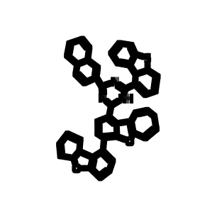 C1=CC2C=CC(C3=NC(c4ccc(-c5cccc6c5C5C=CC=CC5O6)c5oc6c(c45)C=CCC=C6)NC(C4=CC=CC5Sc6ccccc6C45)=N3)=CC2C=C1